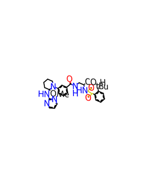 COC1(Nc2ncccn2)CCCCN1c1cccc(C(=O)NC[C@H](NS(=O)(=O)c2ccccc2C(C)(C)C)C(=O)O)c1